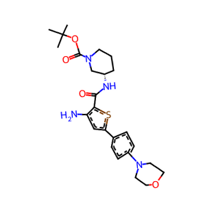 CC(C)(C)OC(=O)N1CCC[C@H](NC(=O)c2sc(-c3ccc(N4CCOCC4)cc3)cc2N)C1